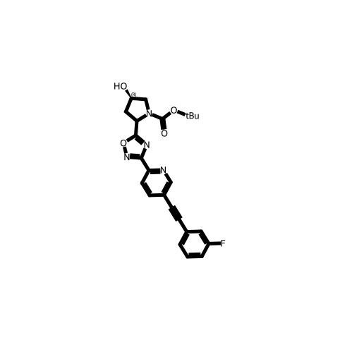 CC(C)(C)OC(=O)N1C[C@H](O)CC1c1nc(-c2ccc(C#Cc3cccc(F)c3)cn2)no1